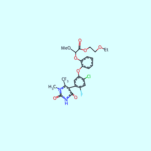 CCOCCOC(=O)C(OC)Oc1ccccc1Oc1cc(-c2c(C(F)(F)F)n(C)c(=O)[nH]c2=O)c(F)cc1Cl